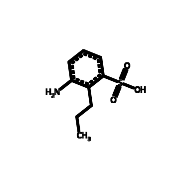 CCCc1c(N)cccc1S(=O)(=O)O